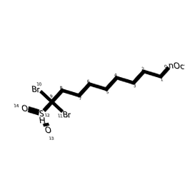 CCCCCCCCCCCCCCCCC(Br)(Br)[SH](=O)=O